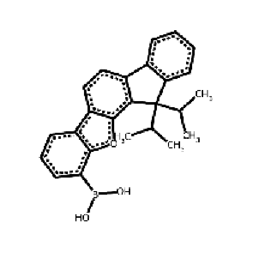 CC(C)C1(C(C)C)c2ccccc2-c2ccc3c(oc4c(B(O)O)cccc43)c21